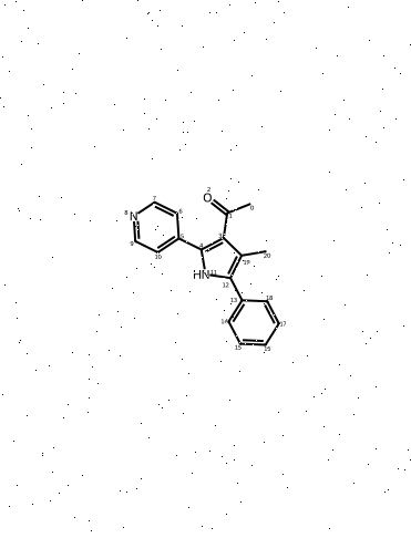 CC(=O)c1c(-c2ccncc2)[nH]c(-c2ccccc2)c1C